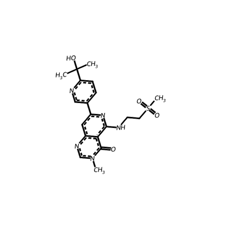 Cn1cnc2cc(-c3ccc(C(C)(C)O)nc3)nc(NCCS(C)(=O)=O)c2c1=O